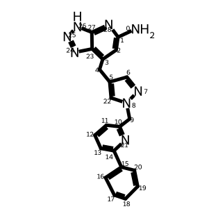 Nc1cc(Cc2cnn(Cc3cccc(-c4ccccc4)n3)c2)c2nn[nH]c2n1